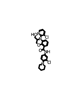 O=C(Nc1ccc(N2CCCCC2)c(Cl)c1)c1cccc2c1OCC(CO)N2c1ncccc1Cl